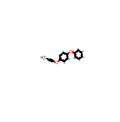 CC#COc1ccc(Oc2ccccc2)cc1